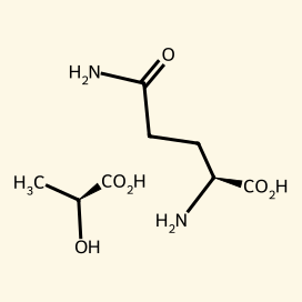 C[C@H](O)C(=O)O.NC(=O)CC[C@H](N)C(=O)O